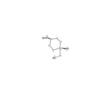 CN[C@H]1CC[C@@](CC#N)(C(C)C)CC1